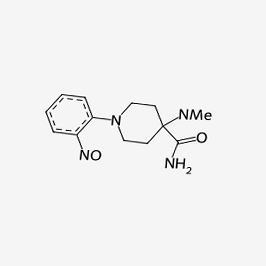 CNC1(C(N)=O)CCN(c2ccccc2N=O)CC1